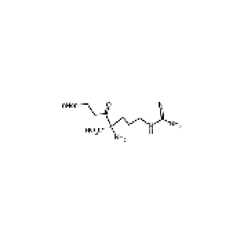 CCCCCCCCCCCC(=O)[C@](N)(CCCNC(=N)N)C(=O)O